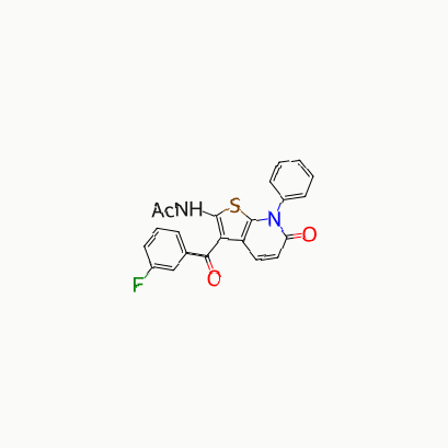 CC(=O)Nc1sc2c(ccc(=O)n2-c2ccccc2)c1C(=O)c1cccc(F)c1